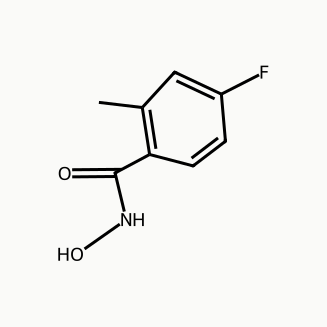 Cc1cc(F)ccc1C(=O)NO